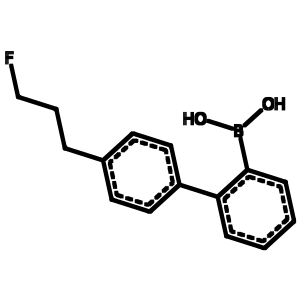 OB(O)c1ccccc1-c1ccc(CCCF)cc1